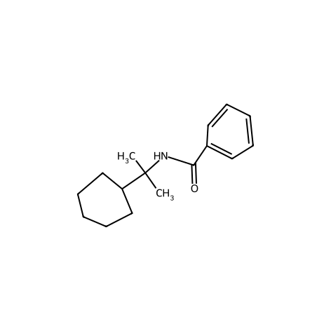 CC(C)(NC(=O)c1ccccc1)C1CCCCC1